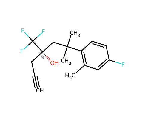 C#CC[C@](O)(CC(C)(C)c1ccc(F)cc1C)C(F)(F)F